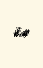 Cc1cnn2c(Nc3ccc(S(=O)(=O)NC4CCN(C)C4)cc3)cc(-c3ccccc3)nc12